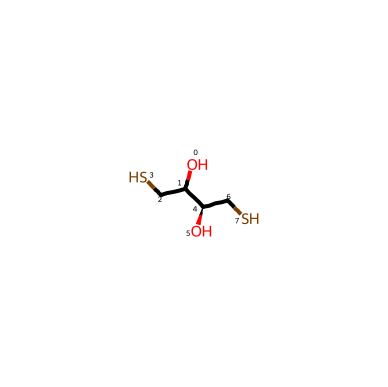 OC(CS)[C@H](O)CS